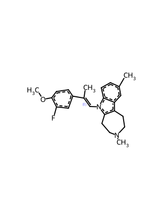 COc1ccc(/C(C)=C/n2c3c(c4cc(C)ccc42)CCN(C)CC3)cc1F